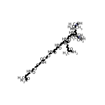 C/C(=N\O)C(C)(C)NCC(CNC(C)(C)/C(C)=N/O)NC(=O)CCCC(=O)N[C@@H](CCCCNC(=O)CCCC(=O)NCCOCCOCC(=O)NCCOCCOCC(=O)NCCCC[C@@H](C)C(N)=O)C(=O)NCCCC[C@H](C)C(N)=O